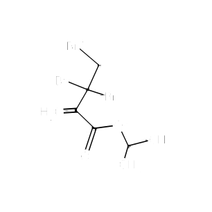 C=C(C(=O)OC(C)C)C(Br)(Br)CBr